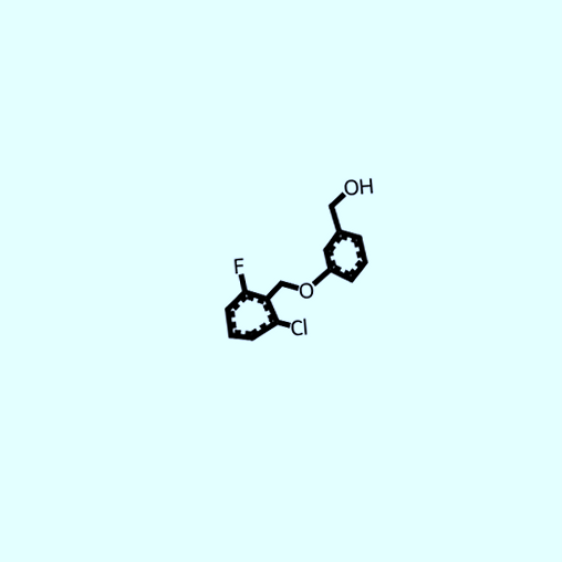 OCc1cccc(OCc2c(F)cccc2Cl)c1